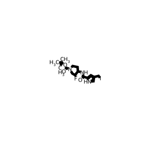 CC(C)(C)OC(=O)N1CCC(NC(=O)c2cc(CI)c[nH]2)[C@@H](F)C1